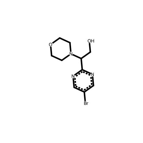 OCC(c1ncc(Br)cn1)N1CCOCC1